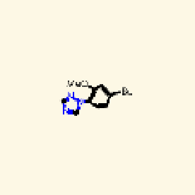 CCC(C)c1ccc(-n2cncn2)c(OC)c1